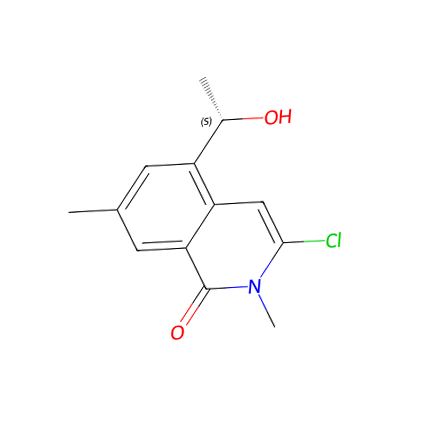 Cc1cc([C@H](C)O)c2cc(Cl)n(C)c(=O)c2c1